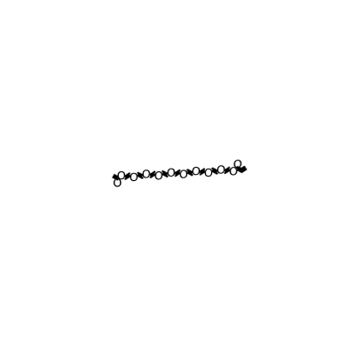 C=CC(=O)OCCOCCOCCOCCOCCOCCOCCOCCOCCOC(C)=O